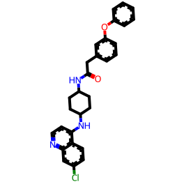 O=C(Cc1cccc(Oc2ccccc2)c1)NC1CCC(Nc2ccnc3cc(Cl)ccc23)CC1